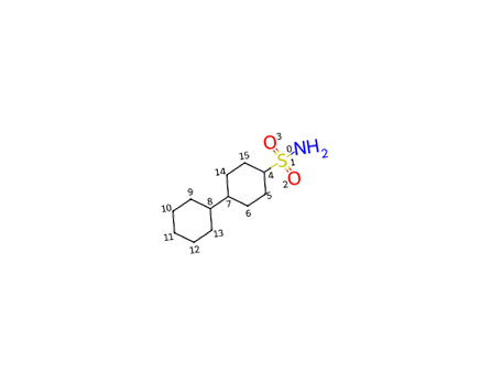 NS(=O)(=O)C1CCC(C2CCCCC2)CC1